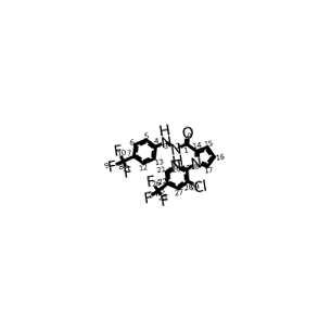 O=C(NNc1ccc(C(F)(F)F)cc1)c1cccn1-c1ncc(C(F)(F)F)cc1Cl